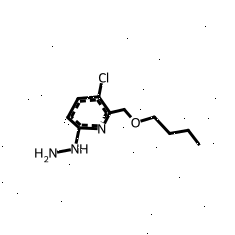 CCCCOCc1nc(NN)ccc1Cl